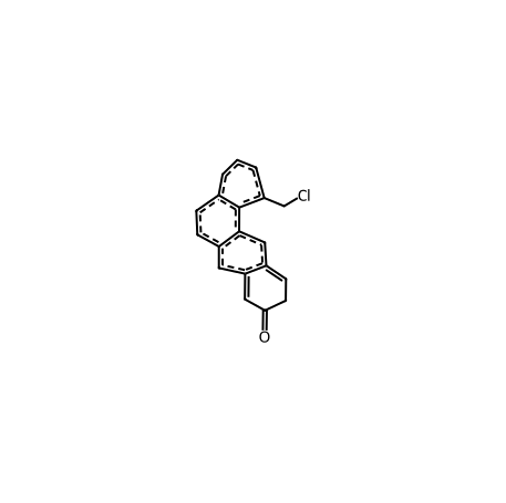 O=C1C=c2cc3ccc4cccc(CCl)c4c3cc2=CC1